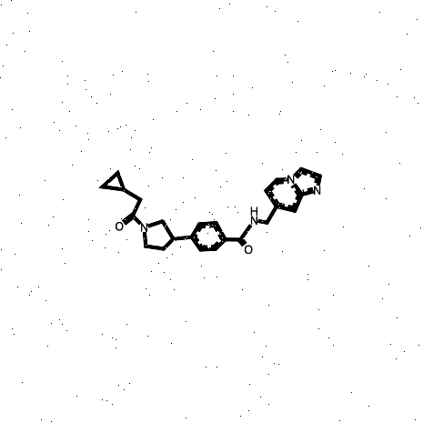 O=C(NCc1ccn2ccnc2c1)c1ccc(C2CCN(C(=O)CC3CC3)C2)cc1